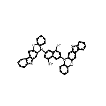 CC(C)c1cc(N2c3ccccc3Oc3cc4c(cc32)sc2ccccc24)cc2c(C(C)C)cc(N3c4ccccc4Oc4cc5c(cc43)sc3ccccc35)cc12